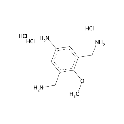 COc1c(CN)cc(N)cc1CN.Cl.Cl.Cl